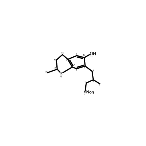 CCCCCCCCCCC(C)Cc1cc2c(cc1O)CCC(C)S2